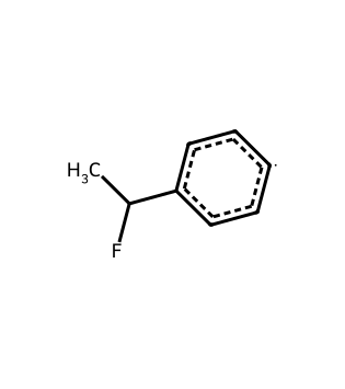 CC(F)c1cc[c]cc1